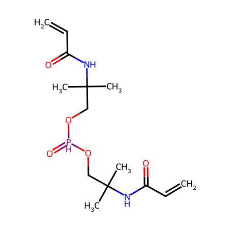 C=CC(=O)NC(C)(C)CO[PH](=O)OCC(C)(C)NC(=O)C=C